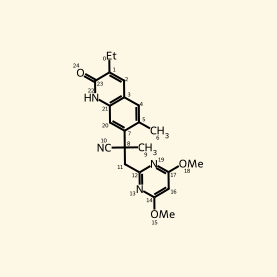 CCc1cc2cc(C)c(C(C)(C#N)Cc3nc(OC)cc(OC)n3)cc2[nH]c1=O